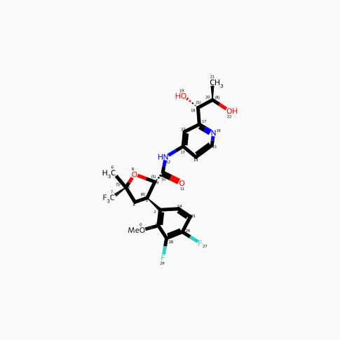 COc1c([C@H]2C[C@@](C)(C(F)(F)F)O[C@@H]2C(=O)Nc2ccnc([C@H](O)[C@@H](C)O)c2)ccc(F)c1F